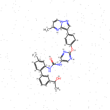 Cc1ccn2ncc(-c3ccc(Oc4ncc(NC(=O)Nc5cc(C(F)(F)F)ccc5-c5cccc(C(C)O)c5)cn4)cc3)c2n1